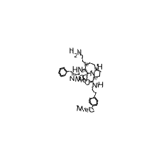 CN[C@H](Cc1ccccc1)C(=O)N[C@@H]1C(=O)N2[C@@H](CC[C@@H]1CCN)CC[C@H]2C(=O)NCCc1ccc(OC)cc1